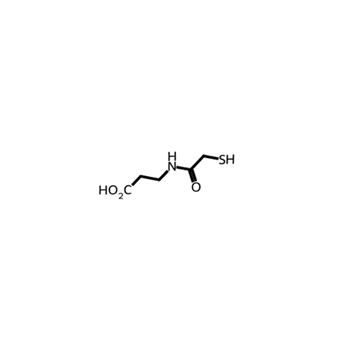 O=C(O)CCNC(=O)CS